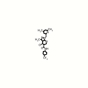 Cc1cc(C)nc(Cn2nc(C)c3c(Cl)c(C(=O)Nc4ccc(C(F)(F)F)cc4)cnc32)c1